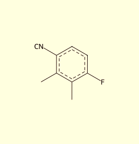 [C-]#[N+]c1ccc(F)c(C)c1C